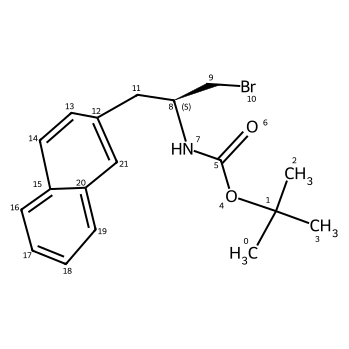 CC(C)(C)OC(=O)N[C@H](CBr)Cc1ccc2ccccc2c1